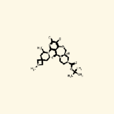 CC1CC2(CCN1c1nc(Cl)c(Cl)c3c1C(=O)N1CCN(C(=O)OC(C)(C)C)C[C@@H]1CO3)CN(C)C2